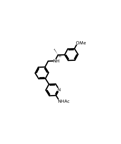 COc1cccc([C@@H](C)NCc2cccc(-c3ccc(NC(C)=O)nc3)c2)c1